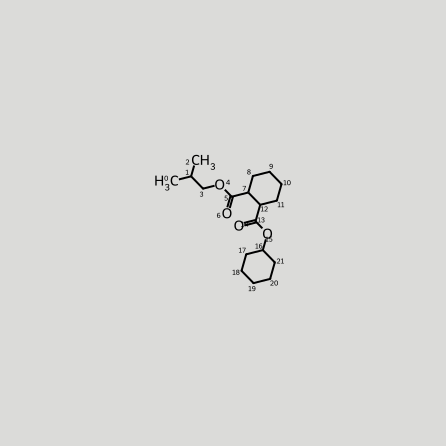 CC(C)COC(=O)C1CCCCC1C(=O)OC1CCCCC1